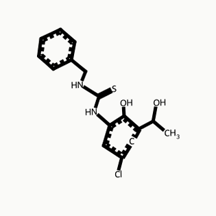 CC(O)c1cc(Cl)cc(NC(=S)NCc2ccccc2)c1O